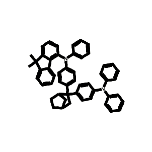 CC1(C)c2ccccc2-c2c(N(c3ccccc3)c3ccc(C4(c5ccc(N(c6ccccc6)c6ccccc6)cc5)CC5CCC4C5)cc3)cccc21